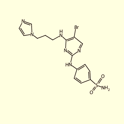 NS(=O)(=O)c1ccc(Nc2ncc(Br)c(NCCCn3ccnc3)n2)cc1